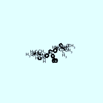 COC(=O)N[C@H](C(=O)N1CCC[C@H]1c1nc2cc([C@H]3CCC(c4ccc5nc([C@@H]6CCCN6C(=O)[C@@H](NC(=O)OC)C(C)C)[nH]c5c4)N3c3ccc(C45CC6CC(CC(C6)C4)C5)cc3)ccc2[nH]1)C(C)C